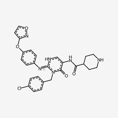 O=C(Nc1c[nH]/c(=N\c2ccc(Oc3ccon3)cc2)n(Cc2ccc(Cl)cc2)c1=O)C1CCNCC1